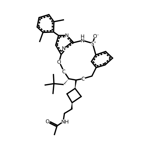 CC(=O)NCC[C@H]1C[C@@H](C2CCc3cccc(c3)[S+]([O-])Nc3nc(cc(-c4c(C)cccc4C)n3)OC[C@H]2CC(C)(C)C)C1